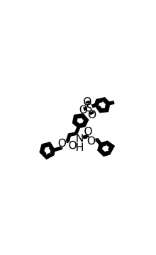 Cc1ccc(S(=O)(=O)Oc2ccc(C(CC(=O)OCc3ccccc3)NC(=O)OCc3ccccc3)cc2)cc1